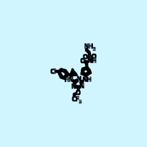 NCCS(=O)(=O)NC(=O)c1ccc(Nc2nc(NC3(c4ccc(Cl)cc4)CC3)nc(OCC(F)(F)F)n2)cc1